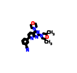 CC1CN(c2nc(N3CCOCC3)c3ccc(-c4cccc(C#N)c4)nc3n2)CC(C)O1